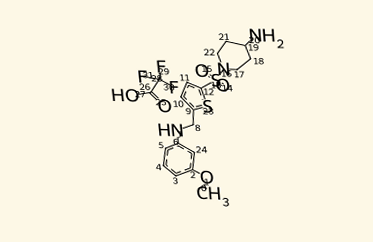 COc1cccc(NCc2ccc(S(=O)(=O)N3CCC(N)CC3)s2)c1.O=C(O)C(F)(F)F